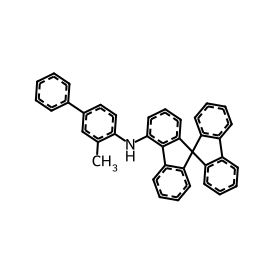 Cc1cc(-c2ccccc2)ccc1Nc1cccc2c1-c1ccccc1C21c2ccccc2-c2ccccc21